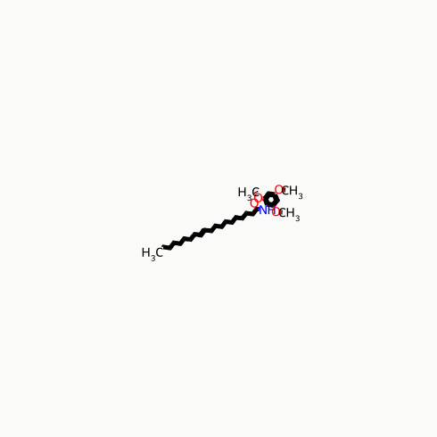 CCCCCCCC/C=C/CCCCCCCCCC(=O)Nc1c(OC)cc(OC)cc1OC